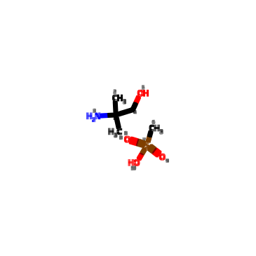 CC(C)(N)CO.CS(=O)(=O)O